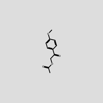 COc1ccc(C(=O)COC(C)=O)cc1